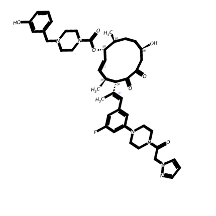 C/C(=C\c1cc(F)cc(N2CCN(C(=O)Cn3cccn3)CC2)c1)[C@H]1C(=O)C(=O)C[C@H](O)CC[C@H](C)[C@@H](OC(=O)N2CCN(Cc3cccc(O)c3)CC2)/C=C/[C@@H]1C